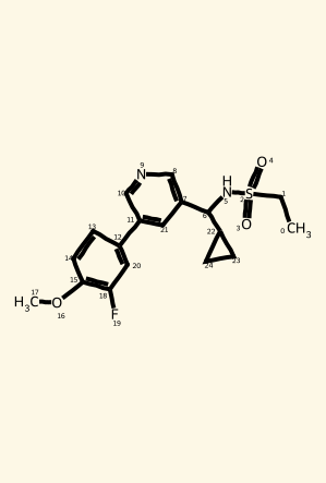 CCS(=O)(=O)NC(c1cncc(-c2ccc(OC)c(F)c2)c1)C1CC1